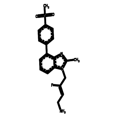 Cc1nc2c(-c3ccc(S(C)(=O)=O)cc3)cccc2n1C/C(F)=C/CN